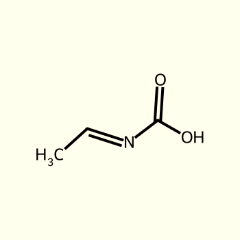 CC=NC(=O)O